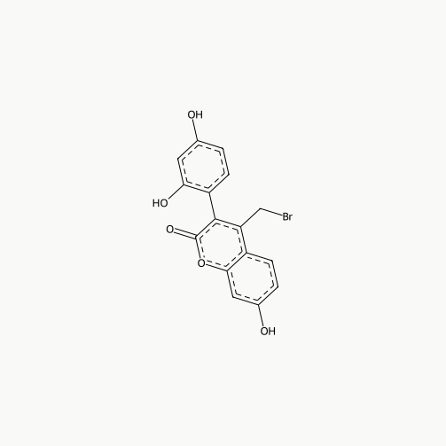 O=c1oc2cc(O)ccc2c(CBr)c1-c1ccc(O)cc1O